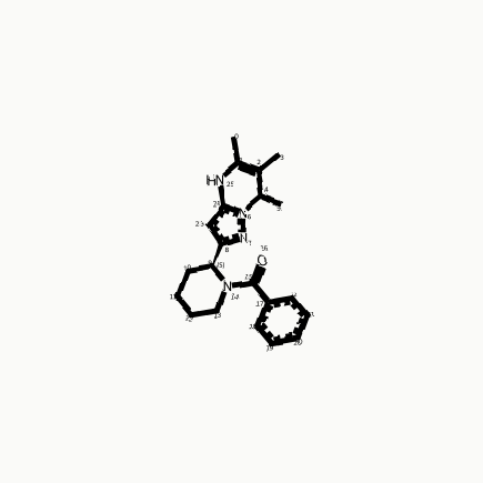 CC1=C(C)C(C)n2nc([C@@H]3CCCCN3C(=O)c3ccccc3)cc2N1